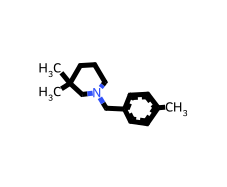 Cc1ccc(CN2CCCC(C)(C)C2)cc1